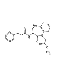 COC(=O)CN1C(=O)C(NC(=O)CCc2ccccc2)CNC2=C1CC=CC2